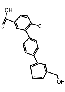 O=C(O)c1ccc(Cl)c(-c2ccc(-c3cccc(CO)c3)cc2)c1